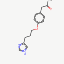 CC(C)(C)C(=O)Cc1ccc(OCCCc2c[nH]cn2)cc1